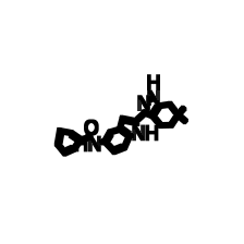 CC1(C)CCc2c(-c3cc4cc(NC(=O)c5ccccc5)ccc4[nH]3)n[nH]c2C1